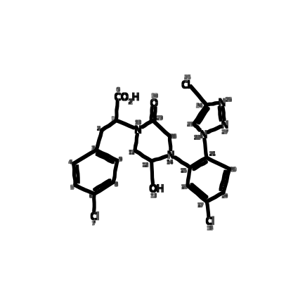 O=C(O)C(Cc1ccc(Cl)cc1)N1CC(O)N(c2cc(Cl)ccc2-n2cc(Cl)nn2)CC1=O